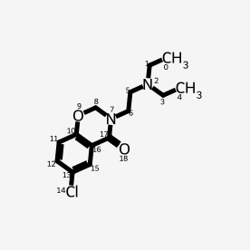 CCN(CC)CCN1COc2ccc(Cl)cc2C1=O